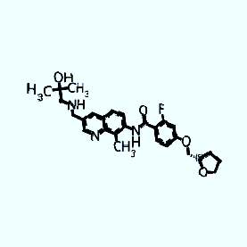 Cc1c(NC(=O)c2ccc(OC[C@@H]3CCCO3)cc2F)ccc2cc(CNCC(C)(C)O)cnc12